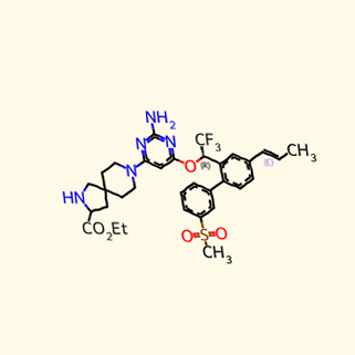 C/C=C/c1ccc(-c2cccc(S(C)(=O)=O)c2)c([C@@H](Oc2cc(N3CCC4(CC3)CNC(C(=O)OCC)C4)nc(N)n2)C(F)(F)F)c1